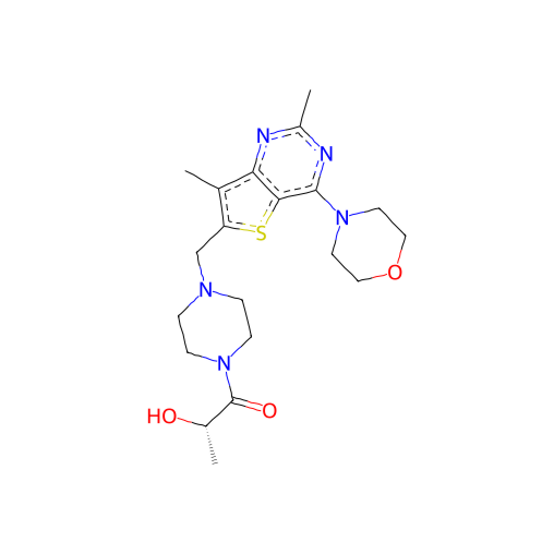 Cc1nc(N2CCOCC2)c2sc(CN3CCN(C(=O)[C@H](C)O)CC3)c(C)c2n1